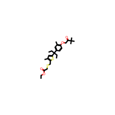 CCOC(=O)CSCc1sc(C(CC)(CC)c2ccc(OCC(=O)C(C)(C)C)c(C)c2)cc1C